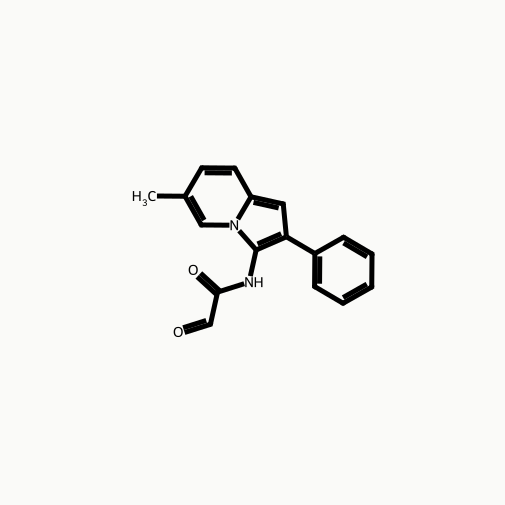 Cc1ccc2cc(-c3ccccc3)c(NC(=O)C=O)n2c1